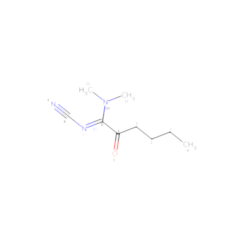 CCCCC(=O)/C(=N/C#N)N(C)C